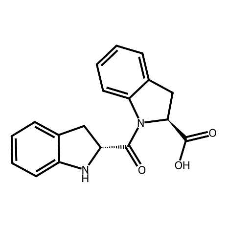 O=C(O)[C@@H]1Cc2ccccc2N1C(=O)[C@H]1Cc2ccccc2N1